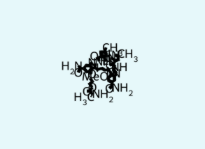 CCn1nc(C)cc1C(=O)Nc1nc2cc(C(N)=O)cc(OC)c2n1C/C=C/Cn1c(NC(=O)c2cc(C)nn2CC)nc2cc(C(N)=O)cc(OCCCOC(=O)[C@H](C)N)c21